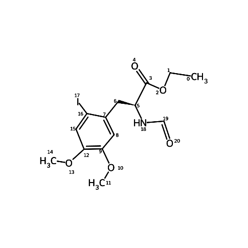 CCOC(=O)[C@H](Cc1cc(OC)c(OC)cc1I)NC=O